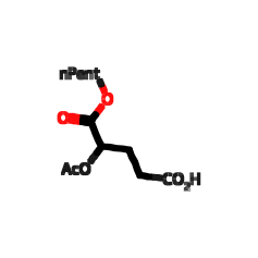 CCCCCOC(=O)C(CCC(=O)O)OC(C)=O